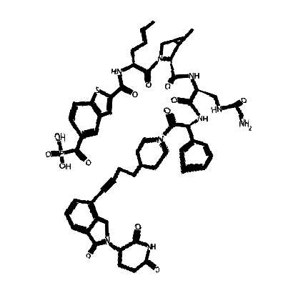 CCCC[C@H](NC(=O)c1cc2cc(C(=O)P(=O)(O)O)ccc2s1)C(=O)N1CC2C(C)C2[C@H]1C(=O)N[C@@H](CNC(N)=O)C(=O)N[C@H](C(=O)N1CCC(CCC#Cc2cccc3c2CN(C2CCC(=O)NC2=O)C3=O)CC1)c1ccccc1